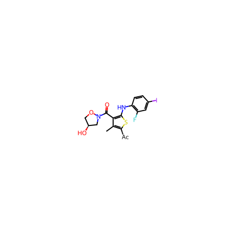 CC(=O)c1sc(Nc2ccc(I)cc2F)c(C(=O)N2C[C@@H](O)CO2)c1C